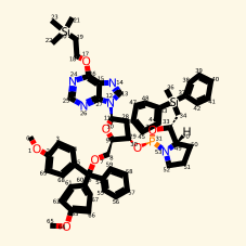 COc1ccc(C(OC[C@H]2O[C@@H](n3cnc4c(OCC[Si](C)(C)C)ncnc43)C[C@@H]2O[P@@]2O[C@H](C[Si](C)(c3ccccc3)c3ccccc3)[C@@H]3CCCN32)(c2ccccc2)c2ccc(OC)cc2)cc1